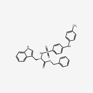 Cc1ccc(Nc2ccc(S(=O)(=O)N[C@H](Cc3c[nH]c4ccccc34)C(=O)OCc3ccccc3)cc2)cc1